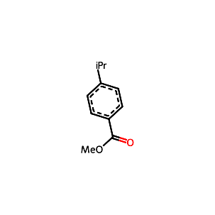 [CH2]OC(=O)c1ccc(C(C)C)cc1